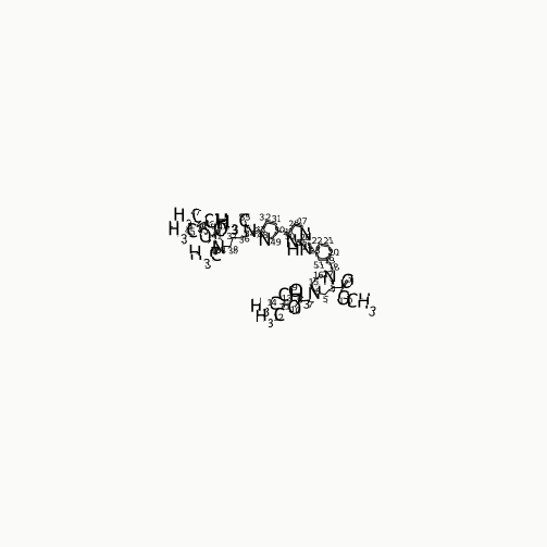 COC(=O)C1CN(CC(=O)OC(C)(C)C)CCN1Cc1cccc(Nc2nccc(-c3ccc(N(C)CCCN(C)C(=O)OC(C)(C)C)nc3)n2)c1